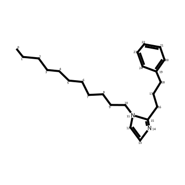 CCCCCCCCCCCn1ccnc1CCCc1ccccc1